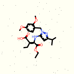 CCOC(=O)C(Nc1cc(C(C)C)nn1Cc1ccc(OC)cc1OC)=C(CC)C(=O)O